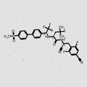 CC(C)(F)C[C@H](N[C@@H](c1ccc(-c2ccc(S(C)(=O)=O)cc2)cc1)C(F)(F)F)C(=O)N[C@H](C#N)Cc1c(F)cc(C#N)cc1F